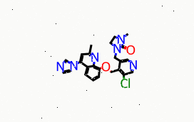 Cc1cc(-n2ccnc2)c2cccc(OCc3c(Cl)cncc3CN3CCN(C)C3=O)c2n1